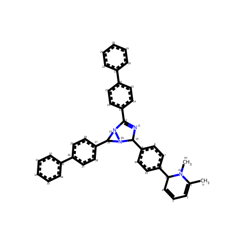 CC1=CC=CC(c2ccc(C3N=C(c4ccc(-c5ccccc5)cc4)N4C(c5ccc(-c6ccccc6)cc5)N34)cc2)N1C